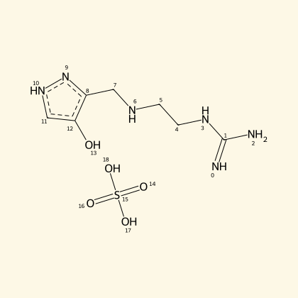 N=C(N)NCCNCc1n[nH]cc1O.O=S(=O)(O)O